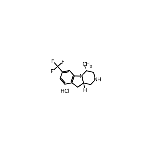 C[C@@H]1CNC[C@@H]2Cc3ccc(C(F)(F)F)cc3N21.Cl